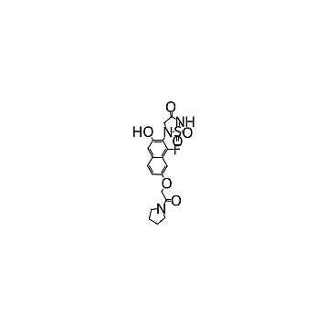 O=C1CN(c2c(O)cc3ccc(OCC(=O)N4CCCC4)cc3c2F)S(=O)(=O)N1